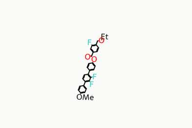 CCOCc1ccc(C(=O)Oc2ccc(-c3ccc(-c4ccc(OC)cc4)c(F)c3F)cc2)cc1F